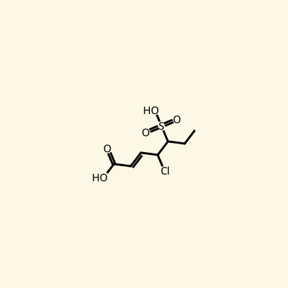 CCC(C(Cl)C=CC(=O)O)S(=O)(=O)O